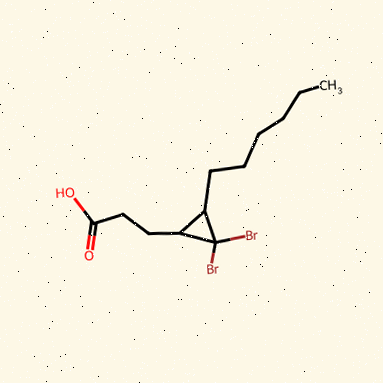 CCCCCCC1C(CCC(=O)O)C1(Br)Br